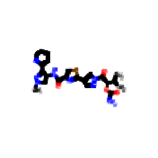 CC(C)[C@H](OC(N)=O)C(=O)n1cc(-c2nc(C(=O)Nc3cn(C)nc3-c3ccccn3)cs2)cn1